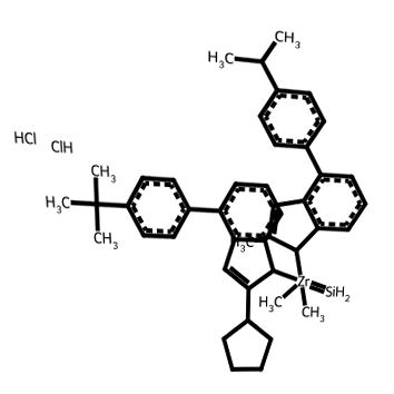 CC1=Cc2c(-c3ccc(C(C)C)cc3)cccc2[CH]1[Zr]([CH3])([CH3])(=[SiH2])[CH]1C(C2CCCC2)=Cc2c(-c3ccc(C(C)(C)C)cc3)cccc21.Cl.Cl